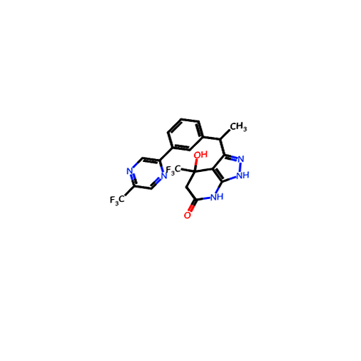 CC(c1cccc(-c2cnc(C(F)(F)F)cn2)c1)c1n[nH]c2c1C(O)(C(F)(F)F)CC(=O)N2